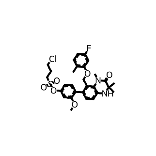 COc1cc(OS(=O)(=O)CCCCl)ccc1-c1ccc2c(c1COc1cc(F)ccc1C)N(C)C(=O)C(C)(C)N2